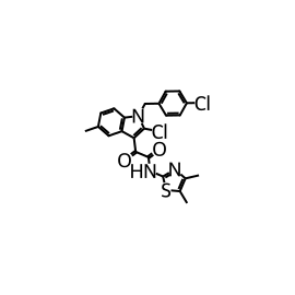 Cc1ccc2c(c1)c(C(=O)C(=O)Nc1nc(C)c(C)s1)c(Cl)n2Cc1ccc(Cl)cc1